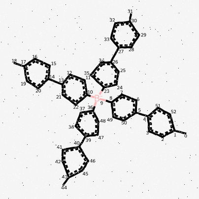 Cc1ccc(-c2ccc([B-](c3ccc(-c4ccc(C)cc4)cc3)(c3ccc(-c4ccc(C)cc4)cc3)c3ccc(-c4ccc(C)cc4)cc3)cc2)cc1